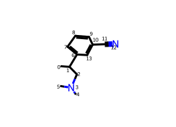 CC(CN(C)C)c1cccc(C#N)c1